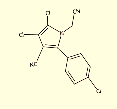 N#CCn1c(Cl)c(Cl)c(C#N)c1-c1ccc(Cl)cc1